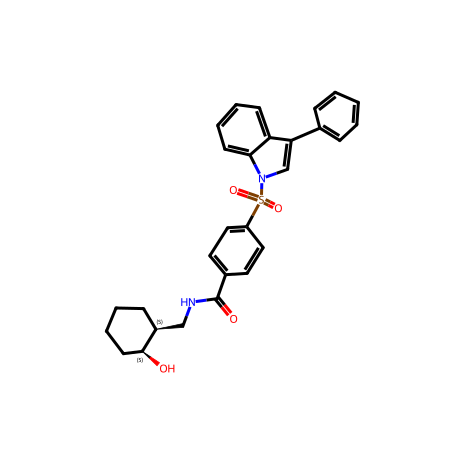 O=C(NC[C@@H]1CCCC[C@@H]1O)c1ccc(S(=O)(=O)n2cc(-c3ccccc3)c3ccccc32)cc1